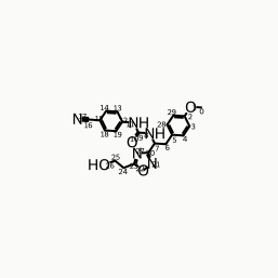 COc1ccc(CC(NC(=O)Nc2ccc(C#N)cc2)c2noc(CCO)n2)cc1